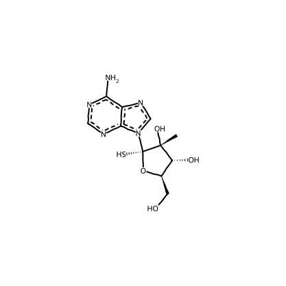 C[C@@]1(O)[C@H](O)[C@@H](CO)O[C@@]1(S)n1cnc2c(N)ncnc21